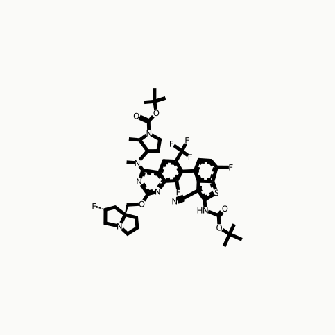 CC1C(N(C)c2nc(OC[C@@]34CCCN3C[C@H](F)C4)nc3c(F)c(-c4ccc(F)c5sc(NC(=O)OC(C)(C)C)c(C#N)c45)c(C(F)(F)F)cc23)CCN1C(=O)OC(C)(C)C